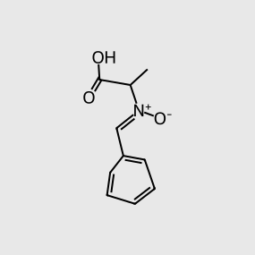 CC(C(=O)O)[N+]([O-])=Cc1ccccc1